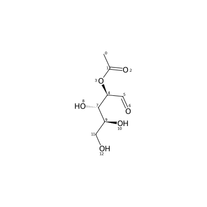 CC(=O)O[C@@H](C=O)[C@@H](O)[C@@H](O)CO